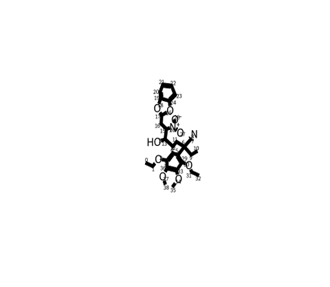 CCOc1cc(C(C#N)(CC)CCC(O)C(CC2Oc3ccccc3O2)[N+](=O)[O-])c(OCC)c(OC)c1OC